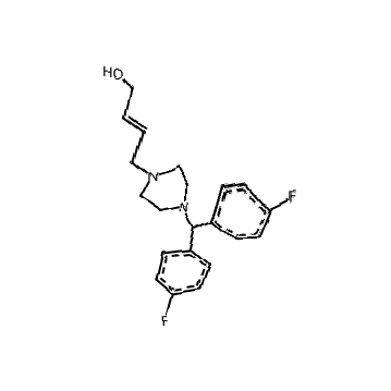 OC/C=C/CN1CCN(C(c2ccc(F)cc2)c2ccc(F)cc2)CC1